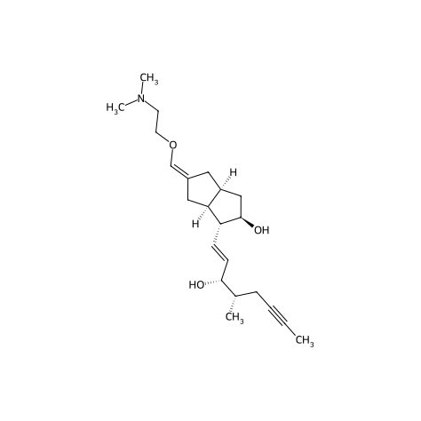 CC#CC[C@H](C)[C@H](O)/C=C/[C@@H]1[C@H]2C/C(=C/OCCN(C)C)C[C@H]2C[C@H]1O